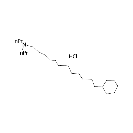 CCCN(CCC)CCCCCCCCCCCCC1CCCCC1.Cl